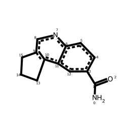 NC(=O)c1ccc2ncc3c(c2c1)CCC3